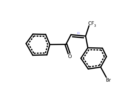 O=C(/C=C(\c1ccc(Br)cc1)C(F)(F)F)c1ccccc1